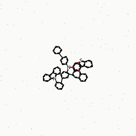 c1ccc(-c2ccc(N(c3ccc4c(c3)sc3ccccc34)c3ccc(-c4ccccc4-n4c5ccccc5c5ccccc54)cc3-c3cc4ccccc4c4ccccc34)cc2)cc1